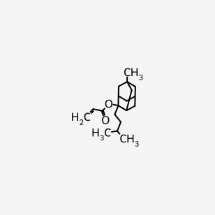 C=CC(=O)OC1(CCC(C)C)C2CC3CC1CC(C)(C3)C2